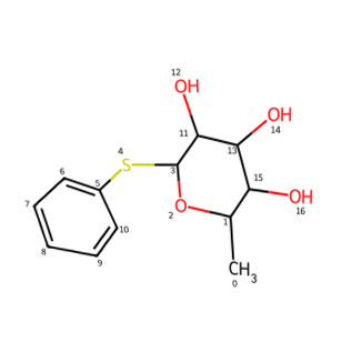 CC1OC(Sc2ccccc2)C(O)C(O)C1O